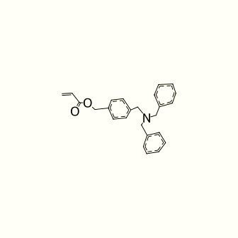 C=CC(=O)OCc1ccc(CN(Cc2ccccc2)Cc2ccccc2)cc1